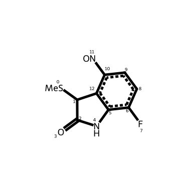 CSC1C(=O)Nc2c(F)ccc(N=O)c21